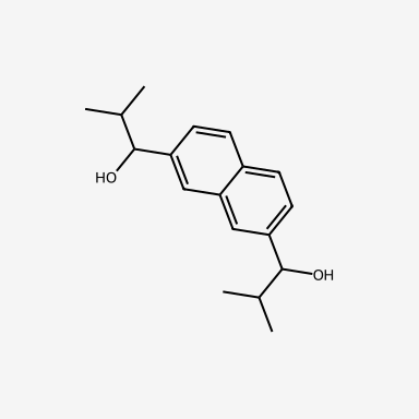 CC(C)C(O)c1ccc2ccc(C(O)C(C)C)cc2c1